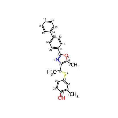 Cc1cc(SC(C)c2nc(-c3ccc(-c4ccccc4)cc3)oc2C)ccc1O